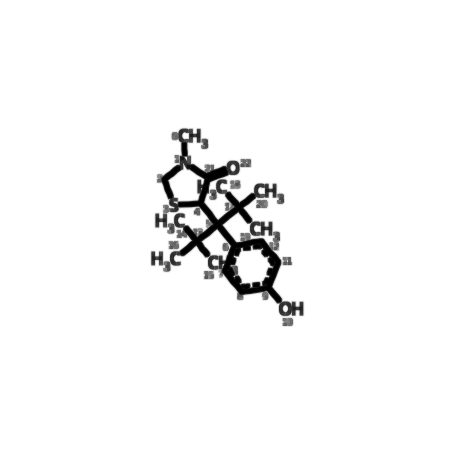 CN1CSC(C(c2ccc(O)cc2)(C(C)(C)C)C(C)(C)C)C1=O